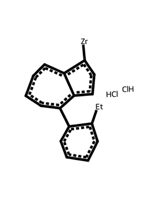 CCc1ccccc1-c1ccccc2[c]([Zr])ccc1-2.Cl.Cl